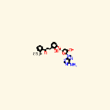 Nc1ncnc2c1ncn2[C@@H]1O[C@H](COc2cccc(CCC(=O)c3ccccc3C(=O)O)c2O)C[C@H]1O